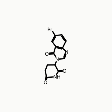 O=C1CCC(n2cnc3ccc(Br)cc3c2=O)C(=O)N1